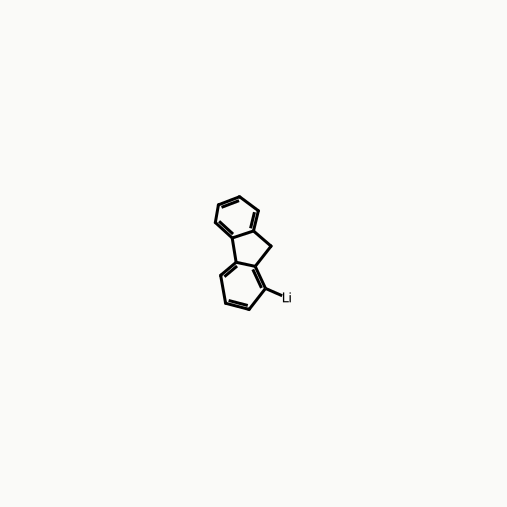 [Li][c]1cccc2c1Cc1ccccc1-2